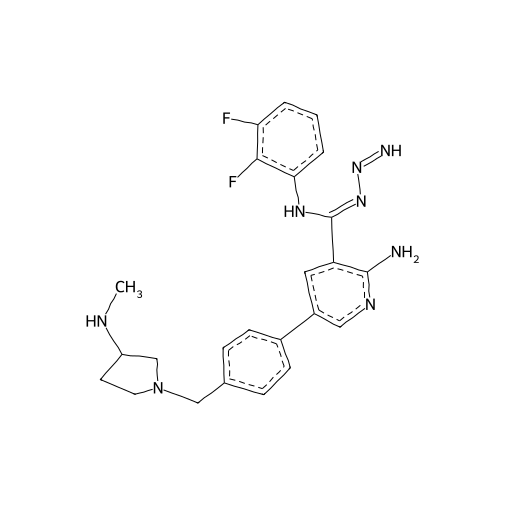 CNC1CCN(Cc2ccc(-c3cnc(N)c(/C(=N/N=N)Nc4cccc(F)c4F)c3)cc2)C1